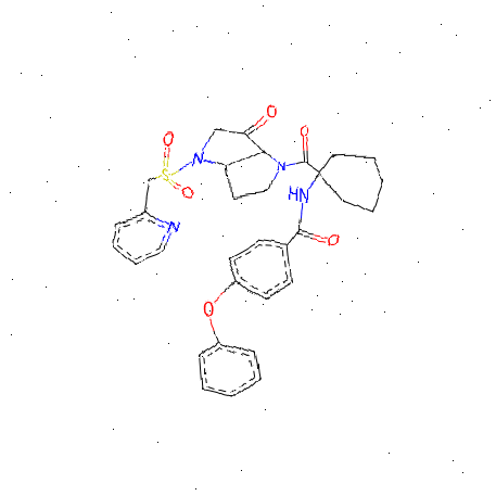 O=C(NC1(C(=O)N2CCC3C2C(=O)CN3S(=O)(=O)Cc2ccccn2)CCCCC1)c1ccc(Oc2ccccc2)cc1